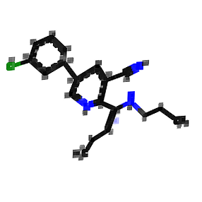 CC/C=C(/NCCC)c1ncc(-c2cccc(Cl)c2)cc1C#N